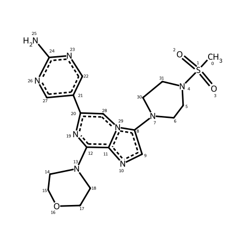 CS(=O)(=O)N1CCN(c2cnc3c(N4CCOCC4)nc(-c4cnc(N)nc4)cn23)CC1